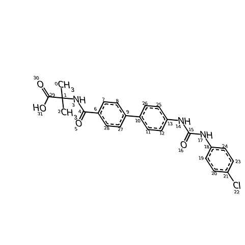 CC(C)(NC(=O)c1ccc(-c2ccc(NC(=O)Nc3ccc(Cl)cc3)cc2)cc1)C(=O)O